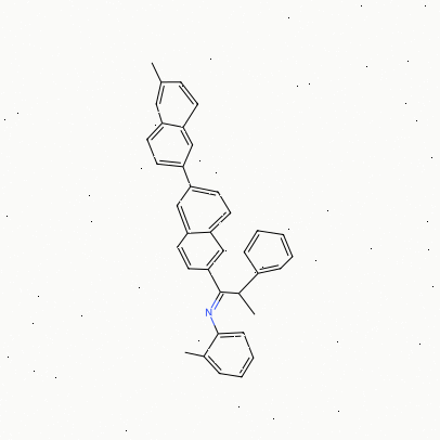 Cc1ccc2cc(-c3ccc4cc(/C(=N/c5ccccc5C)C(C)c5ccccc5)ccc4c3)ccc2c1